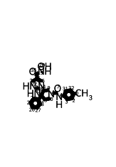 Cc1ccc(NC(=O)N2CCC(NC3=NC=C(C(=O)NO)CN3)(c3ccccc3)CC2)cc1